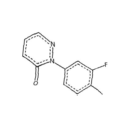 Cc1[c]cc(-n2ncccc2=O)cc1F